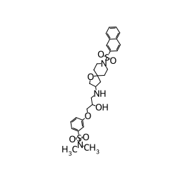 CN(C)S(=O)(=O)c1cccc(OCC(O)CNC2COC3(CCN(S(=O)(=O)c4ccc5ccccc5c4)CC3)C2)c1